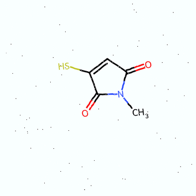 CN1C(=O)C=C(S)C1=O